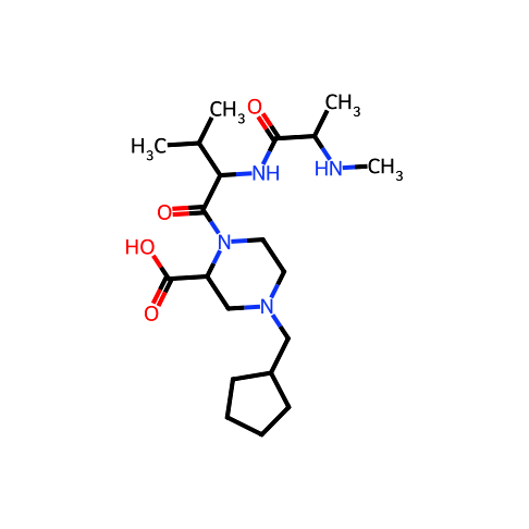 CNC(C)C(=O)NC(C(=O)N1CCN(CC2CCCC2)CC1C(=O)O)C(C)C